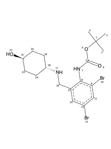 CC(C)(C)OC(=O)Nc1c(Br)cc(Br)cc1CN[C@H]1CC[C@H](O)CC1